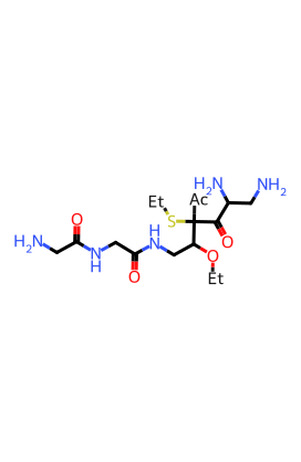 CCOC(CNC(=O)CNC(=O)CN)C(SCC)(C(C)=O)C(=O)C(N)CN